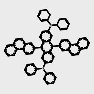 C1=CCCC(N(c2ccc3c(-c4ccc5c(ccc6ccccc65)c4)c4cc(N(c5ccccc5)c5ccccc5)ccc4c(-c4ccc5c(ccc6ccccc65)c4)c3c2)C2C=CC=CC2)=C1